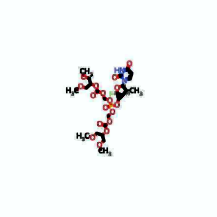 COCC(COC)OC(=O)OCOP(=O)(OCOC(=O)OC(COC)COC)OC1C2[C@H](C)[C@H](n3ccc(=O)[nH]c3=O)O[C@]12F